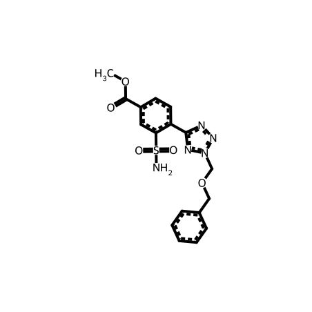 COC(=O)c1ccc(-c2nnn(COCc3ccccc3)n2)c(S(N)(=O)=O)c1